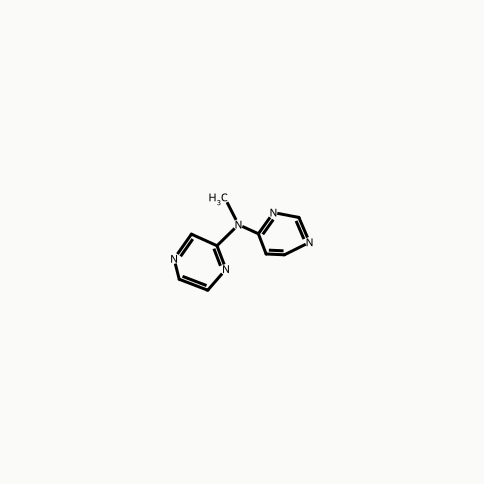 CN(c1ccncn1)c1cnccn1